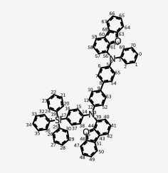 c1ccc(N(c2ccc(-c3ccc(N(c4ccc([Si](c5ccccc5)(c5ccccc5)c5ccccc5)cc4)c4cccc5c4oc4ccccc45)cc3)cc2)c2cccc3c2oc2ccccc23)cc1